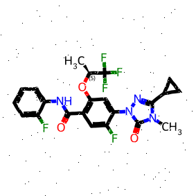 C[C@H](Oc1cc(-n2nc(C3CC3)n(C)c2=O)c(F)cc1C(=O)Nc1ccccc1F)C(F)(F)F